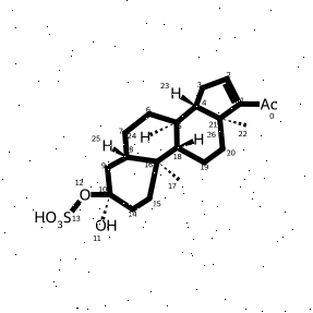 CC(=O)C1=CC[C@H]2[C@@H]3CC[C@H]4C[C@](O)(OS(=O)(=O)O)CC[C@]4(C)[C@H]3CC[C@]12C